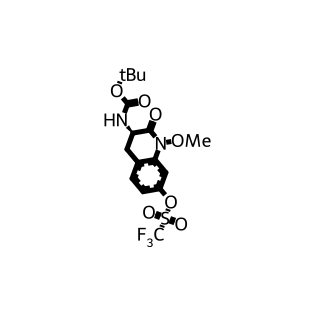 CON1C(=O)[C@H](NC(=O)OC(C)(C)C)Cc2ccc(OS(=O)(=O)C(F)(F)F)cc21